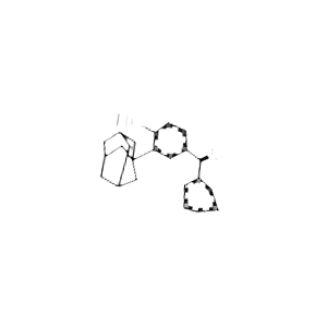 O=C(c1ccccc1)c1ccc(O)c(C23CC4CC(CC(C4)C2)C3)c1